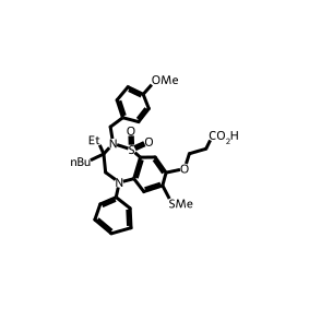 CCCCC1(CC)CN(c2ccccc2)c2cc(SC)c(OCCC(=O)O)cc2S(=O)(=O)N1Cc1ccc(OC)cc1